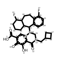 O=C(O)c1cn2c(c(O)c1=O)C(=O)N(CC1CCC1)CN2C1c2cccc(F)c2CCC2C(F)CCCC21